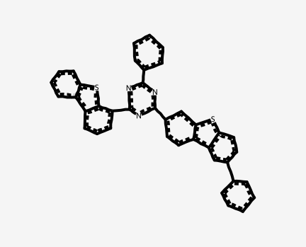 c1ccc(-c2ccc3sc4cc(-c5nc(-c6ccccc6)nc(-c6cccc7c6sc6ccccc67)n5)ccc4c3c2)cc1